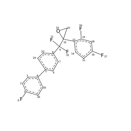 Fc1ccc(-c2ccc(C(F)(F)C3(c4ccc(F)cc4F)CO3)cc2)cc1